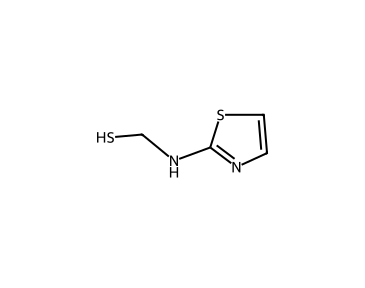 SCNc1nccs1